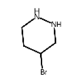 BrC1CCNNC1